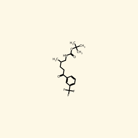 CC(CCC(=O)c1cccc(C(F)(F)F)c1)CNC(=O)OC(C)(C)C